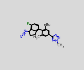 CCCCc1cc(-c2nnn(C)n2)cc(C)c1-c1ccc(F)c2c1CCC2N=[N+]=[N-]